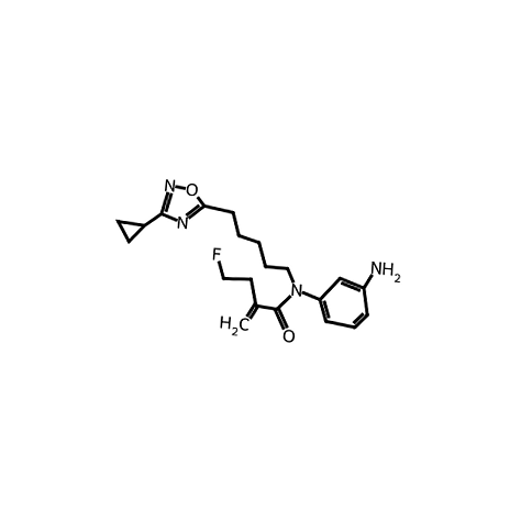 C=C(CCF)C(=O)N(CCCCCc1nc(C2CC2)no1)c1cccc(N)c1